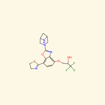 OC(COc1ccc(C2=NCCS2)c2oc(N3CC4CC(C3)N4)nc12)C(F)(F)F